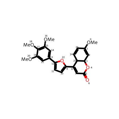 COC1=CC2OC(=O)C=C(c3ccc(-c4cc(OC)c(OC)c(OC)c4)o3)C2C=C1